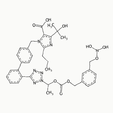 CCCc1nc(C(C)(C)O)c(C(=O)O)n1Cc1ccc(-c2ccccc2-c2nnn(C(C)OC(=O)OCc3cccc(CON(O)O)c3)n2)cc1